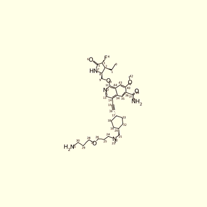 CC[C@@H]1[C@H](F)C(=O)N[C@@H]1COc1ncc(C#C[C@H]2CC[C@H](CN(C)CCCOCCCN)CC2)c2cc(C(N)=O)c(OC)cc12